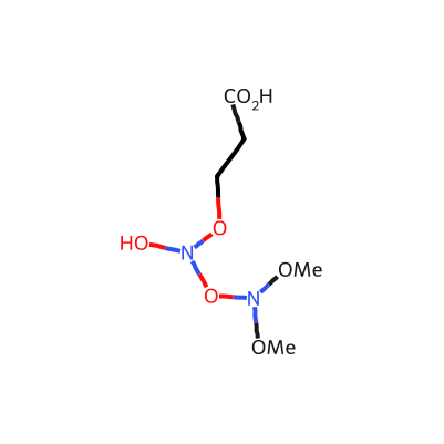 CON(OC)ON(O)OCCC(=O)O